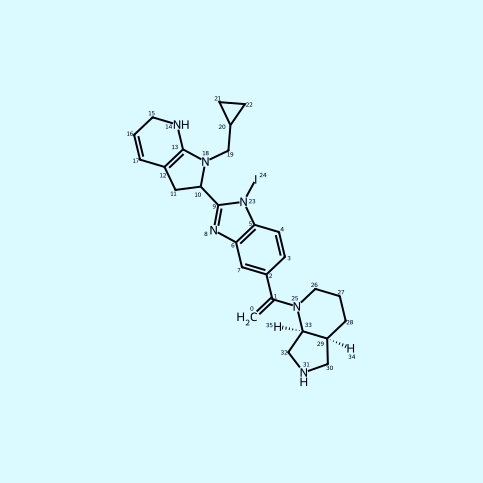 C=C(c1ccc2c(c1)nc(C1CC3=C(NCC=C3)N1CC1CC1)n2I)N1CCC[C@H]2CNC[C@H]21